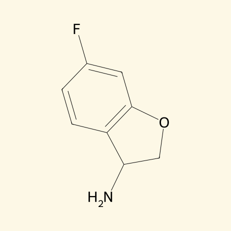 NC1COc2cc(F)ccc21